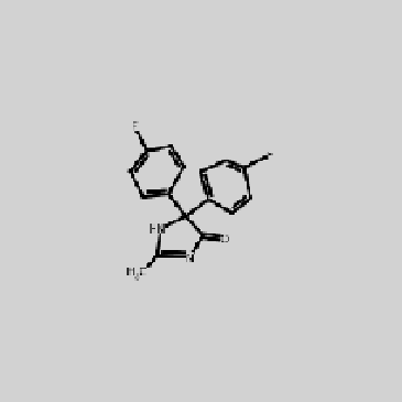 CC1=NC(=O)C(c2ccc(F)cc2)(c2ccc(F)cc2)N1